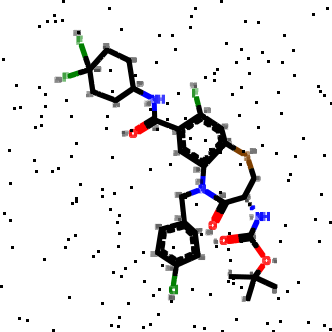 CC(C)(C)OC(=O)N[C@H]1CSc2cc(F)c(C(=O)NC3CCC(F)(F)CC3)cc2N(Cc2ccc(Cl)cc2)C1=O